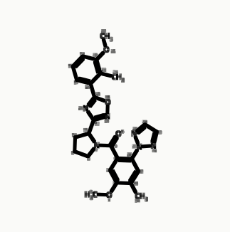 COc1cc(C(=O)N2CCCC2c2noc(-c3cccc(OC)c3C)n2)c(-n2nccn2)cc1C